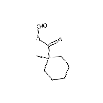 CC1(C(=O)OC=O)CCCCC1